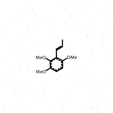 CC=Cc1c(OC)ccc(OC)c1OC